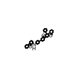 CC12C=CC=CC1c1c(cc3c(oc4cc(-c5ccc(Nc6cccc7c6oc6ccccc67)cc5)ccc43)c1-c1ccccc1)O2